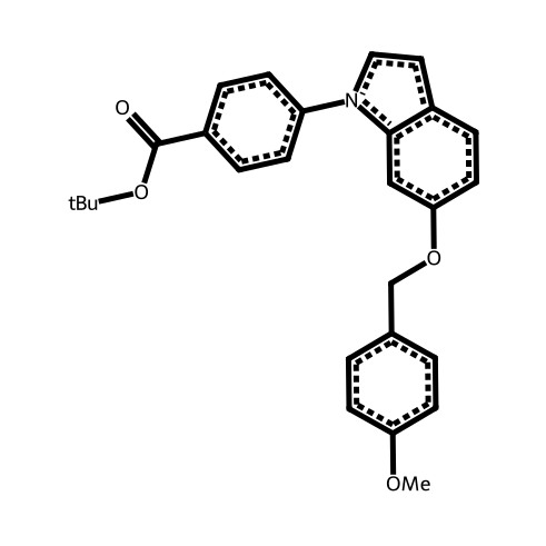 COc1ccc(COc2ccc3ccn(-c4ccc(C(=O)OC(C)(C)C)cc4)c3c2)cc1